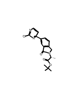 C[C@H](C(=O)OC(C)(C)C)N1Cc2ccc(-c3ccnc(Cl)n3)cc2C1=O